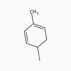 CC1=CCC(I)C=C1